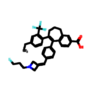 CCc1ccc(C2=C(c3ccc(C=C4CN(CCCF)C4)cc3)c3ccc(C(=O)O)cc3CCC2)c(C(F)(F)F)c1